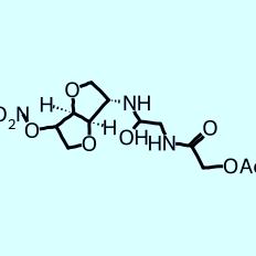 CC(=O)OCC(=O)NCC(O)N[C@H]1CO[C@@H]2C(O[N+](=O)[O-])CO[C@H]12